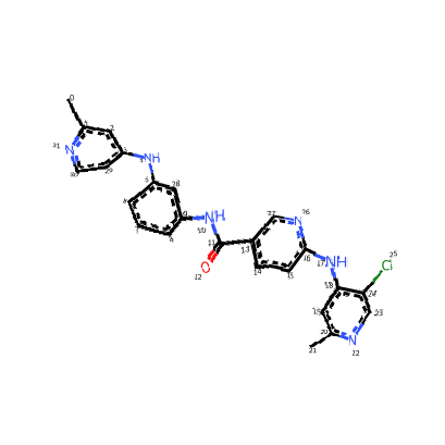 Cc1cc(Nc2cccc(NC(=O)c3ccc(Nc4cc(C)ncc4Cl)nc3)c2)ccn1